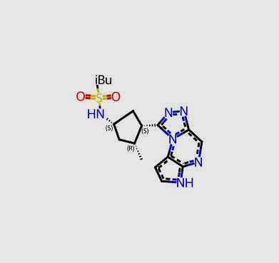 CCC(C)S(=O)(=O)N[C@H]1C[C@@H](C)[C@@H](c2nnc3cnc4[nH]ccc4n23)C1